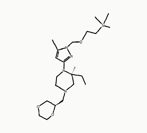 CC[C@@]1(C)CN(C[C@@H]2COCCO2)CCN1c1cc(C)n(COCC[Si](C)(C)C)n1